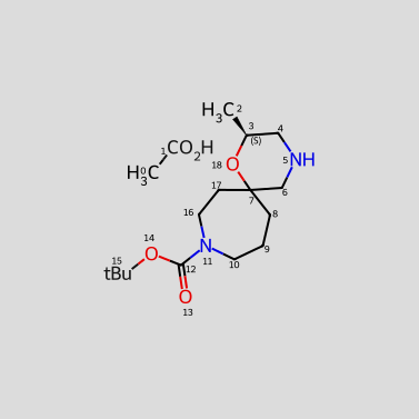 CC(=O)O.C[C@H]1CNCC2(CCCN(C(=O)OC(C)(C)C)CC2)O1